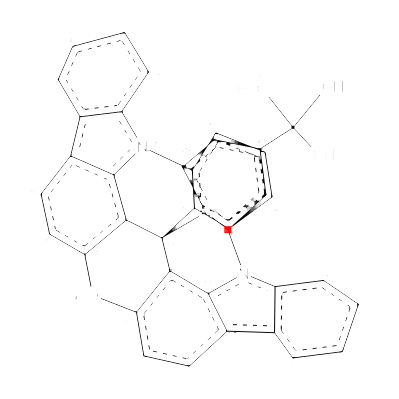 CC(C)(C)c1cc[n+]2c(c1)-n1c3ccccc3c3ccc4c(c31)C21c2ccccc2-n2c3ccccc3c3ccc(c1c32)O4